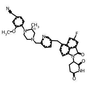 COc1cc(C#N)ccc1N1CCN(Cc2ccc(Cc3ccc4c5c(cc(F)cc35)C(=O)N4C3CCC(=O)NC3=O)cn2)C[C@@H]1C